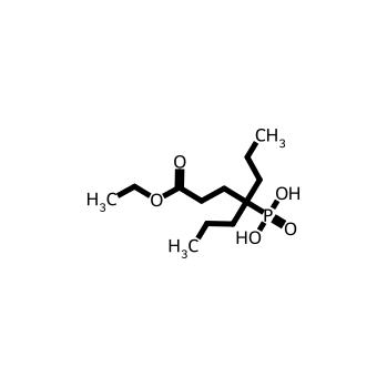 CCCC(CCC)(CCC(=O)OCC)P(=O)(O)O